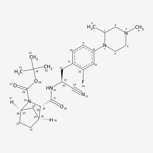 CC1CN(C)CCN1c1ccc(C[C@@H](C#N)NC(=O)[C@@H]2[C@H]3CC[C@H](C3)N2C(=O)OC(C)(C)C)c(F)c1